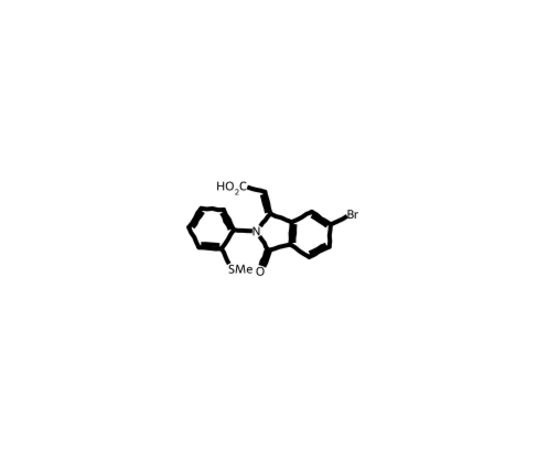 CSc1ccccc1N1C(=O)c2ccc(Br)cc2C1=CC(=O)O